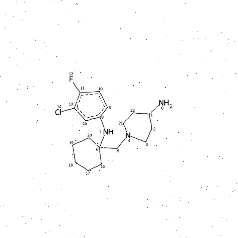 NC1CCN(CC2(Nc3ccc(F)c(Cl)c3)C[CH]CCC2)CC1